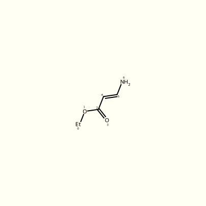 CCOC(=O)C=CN